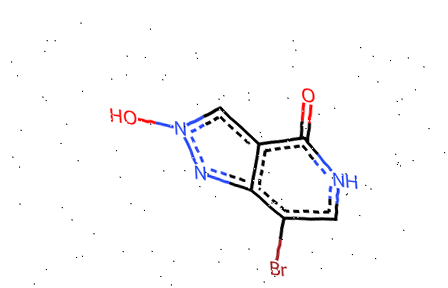 O=c1[nH]cc(Br)c2nn(O)cc12